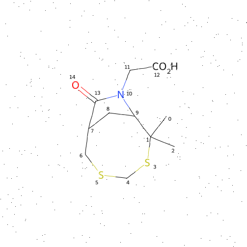 CC1(C)SCSCC2CC1N(CC(=O)O)C2=O